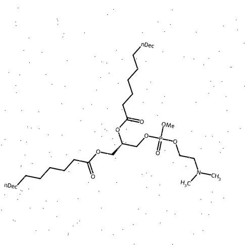 CCCCCCCCCCCCCCCC(=O)OC[C@H](COP(=O)(OC)OCCN(C)C)OC(=O)CCCCCCCCCCCCCCC